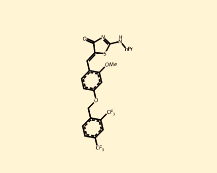 CCCNC1=NC(=O)C(=Cc2ccc(OCc3ccc(C(F)(F)F)cc3C(F)(F)F)cc2OC)S1